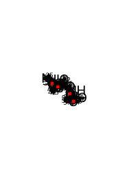 COc1ccc(OC)c(N(CC(=O)Nc2cc(Cc3cc(OC)cc(N(CC(=O)Nc4csnc4C)S(=O)(=O)c4ccccc4)c3OC)no2)S(=O)(=O)c2ccccc2)c1